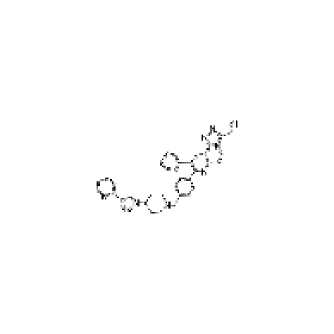 ClCc1nnc2c3cc(-c4ccccc4)c(-c4ccc(CN5CCC(n6cnc(-c7ccccn7)c6)CC5)cc4)nc3ccn12